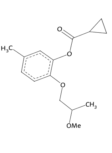 COC(C)COc1ccc(C)cc1OC(=O)C1CC1